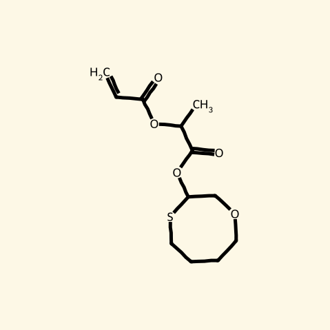 C=CC(=O)OC(C)C(=O)OC1COCCCCS1